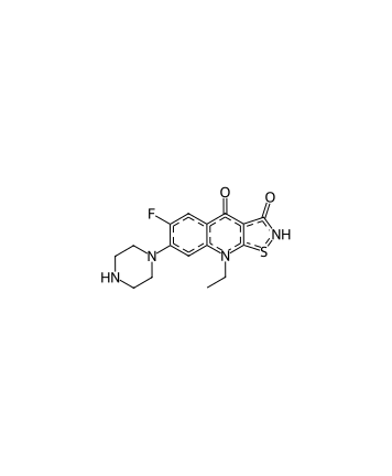 CCn1c2cc(N3CCNCC3)c(F)cc2c(=O)c2c(=O)[nH]sc21